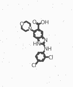 O=C(O)c1cc2nc(Nc3ccc(Cl)cc3Cl)[nH]c2cc1N1CCOCC1